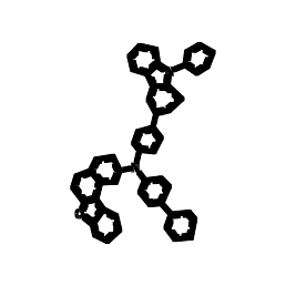 c1ccc(-c2ccc(N(c3ccc(-c4ccc5c(c4)c4ccccc4n5-c4ccccc4)cc3)c3ccc4ccc5oc6ccccc6c5c4c3)cc2)cc1